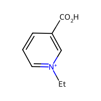 CC[n+]1cccc(C(=O)O)c1